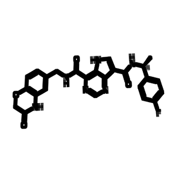 C[C@H](NC(=O)c1c[nH]c2c(C(=O)NCc3ccc4c(c3)NC(=O)CO4)ncnc12)c1ccc(F)cc1